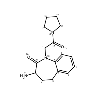 NC1CCc2ccccc2N(CC(=O)N2CCCC2)C1=O